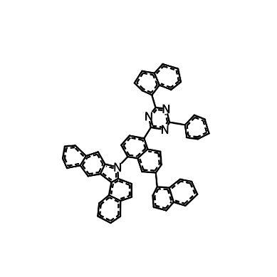 c1ccc(-c2nc(-c3cccc4ccccc34)nc(-c3ccc(-n4c5cc6ccccc6cc5c5c6ccccc6ccc54)c4cc(-c5cccc6ccccc56)ccc34)n2)cc1